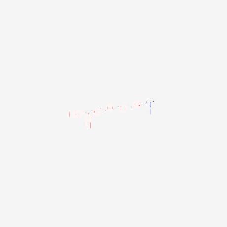 CC(C)(C)NCCOCCOCCOCCOCC(O)CO